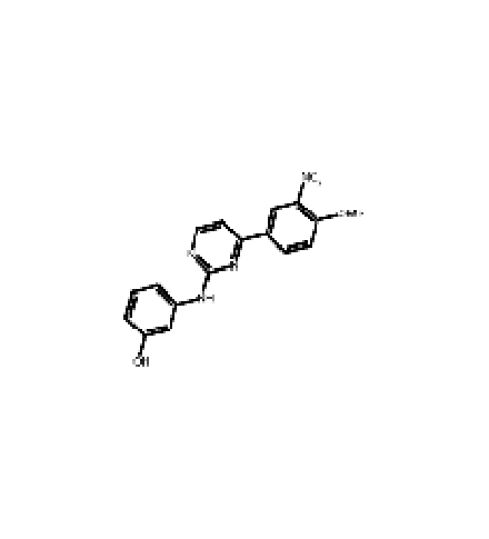 COc1ccc(-c2ccnc(Nc3cccc(O)c3)n2)cc1[N+](=O)[O-]